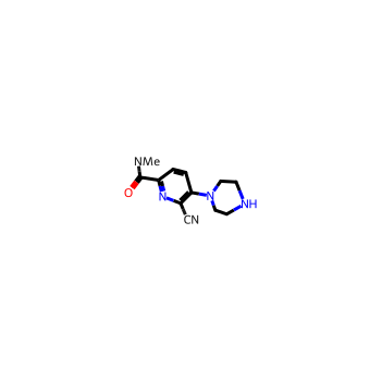 CNC(=O)c1ccc(N2CCNCC2)c(C#N)n1